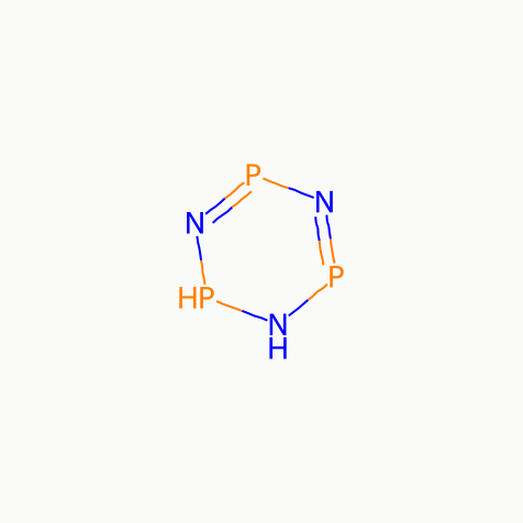 N1=PN=PNP1